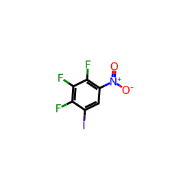 O=[N+]([O-])c1cc(I)c(F)c(F)c1F